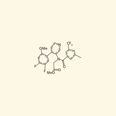 COC(=O)CN(C(=O)c1cc(C)cc(C(F)(F)F)c1)c1cnccc1-c1cc(F)c(F)cc1OC